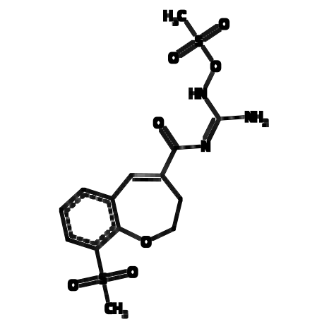 CS(=O)(=O)ONC(N)=NC(=O)C1=Cc2cccc(S(C)(=O)=O)c2OCC1